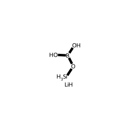 OB(O)O[SiH3].[LiH]